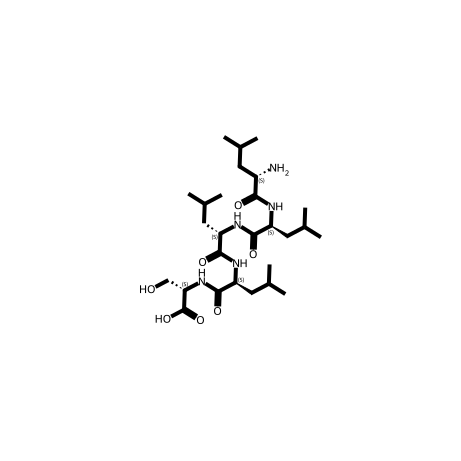 CC(C)C[C@H](NC(=O)[C@H](CC(C)C)NC(=O)[C@H](CC(C)C)NC(=O)[C@@H](N)CC(C)C)C(=O)N[C@@H](CO)C(=O)O